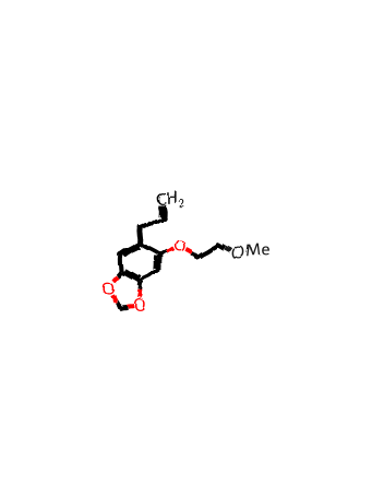 C=CCc1cc2c(cc1OCCOC)OCO2